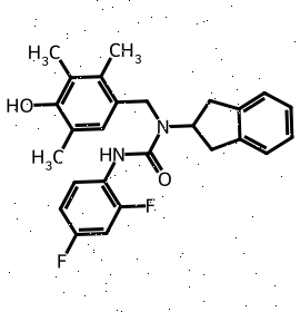 Cc1cc(CN(C(=O)Nc2ccc(F)cc2F)C2Cc3ccccc3C2)c(C)c(C)c1O